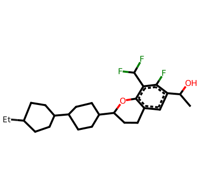 CCC1CCC(C2CCC(C3CCc4cc(C(C)O)c(F)c(C(F)F)c4O3)CC2)CC1